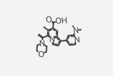 C=C(c1c(C)c(C(=O)O)cc2c(-c3ccnc(N(C)C)c3)ccn12)N1CCOCC1